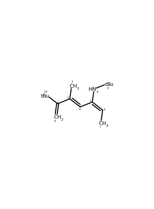 C=C(/C(C)=C/C(=C\C)NC(C)(C)C)C(C)(C)C